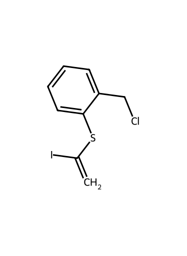 C=C(I)Sc1ccccc1CCl